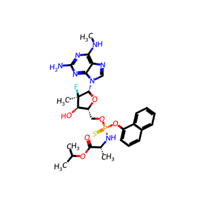 CNc1nc(N)nc2c1ncn2[C@@H]1O[C@H](CO[P@@](=S)(N[C@H](C)C(=O)OC(C)C)Oc2cccc3ccccc23)[C@@H](O)[C@@]1(C)F